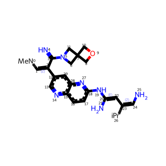 CN/C=C(\C(=N)N1CC2(COC2)C1)c1cnc2ccc(N/C(N)=C/C(=C\N)C(C)C)nc2c1